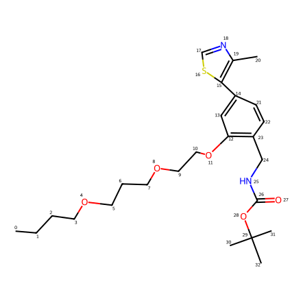 CCCCOCCCOCCOc1cc(-c2scnc2C)ccc1CNC(=O)OC(C)(C)C